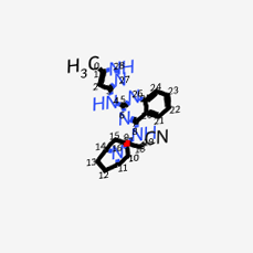 Cc1cc(Nc2nc(NC3CC4CCC(C3)N4CCC#N)c3ccccc3n2)n[nH]1